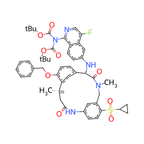 C[C@H]1CC(=O)Nc2ccc(S(=O)(=O)C3CC3)c(c2)CN(C)C(=O)C(Nc2ccc3c(N(C(=O)OC(C)(C)C)C(=O)OC(C)(C)C)ncc(F)c3c2)c2ccc(OCc3ccccc3)c1c2